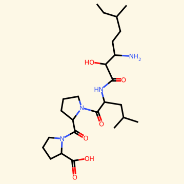 CCC(C)CCC(N)C(O)C(=O)NC(CC(C)C)C(=O)N1CCCC1C(=O)N1CCCC1C(=O)O